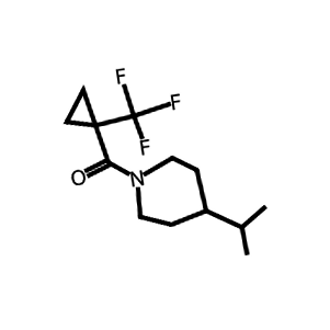 CC(C)C1CCN(C(=O)C2(C(F)(F)F)CC2)CC1